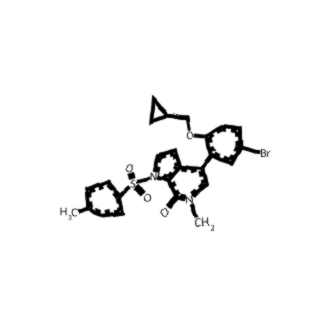 Cc1ccc(S(=O)(=O)n2ccc3c(-c4cc(Br)ccc4OCC4CC4)cn(C)c(=O)c32)cc1